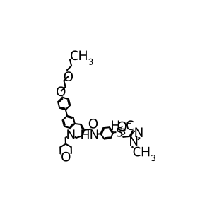 CCCCOCCOc1ccc(-c2ccc3c(c2)C=C(C(=O)Nc2ccc([S+]([O-])Cc4c(C)ncn4CC)cc2)CCN3CC2CCOCC2)cc1